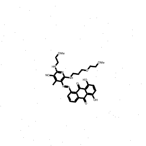 COCCNc1nc(NCCCOCCOC)c(/N=N/c2cccc3c2C(=O)c2c(O)ccc(O)c2C3=O)c(C)c1C#N